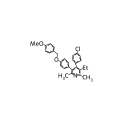 CCc1c(C)nc(C)c(-c2ccc(OCc3ccc(OC)cc3)cc2)c1-c1ccc(Cl)cc1